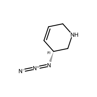 [N-]=[N+]=N[C@@H]1C=CCNC1